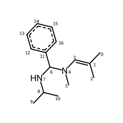 CC(C)=CN(C)C(NC(C)C)c1ccccc1